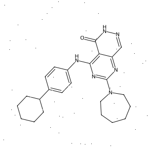 O=c1[nH]ncc2nc(N3CCCCCC3)nc(Nc3ccc(C4CCCCC4)cc3)c12